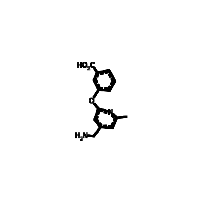 Cc1cc(CN)cc(Oc2cccc(C(=O)O)c2)n1